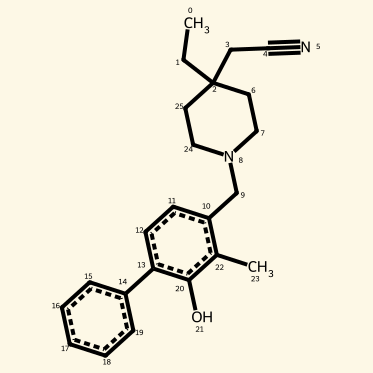 CCC1(CC#N)CCN(Cc2ccc(-c3ccccc3)c(O)c2C)CC1